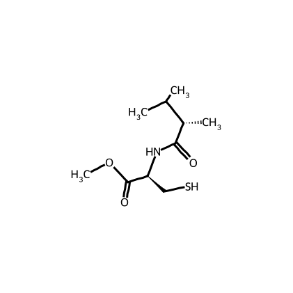 COC(=O)[C@H](CS)NC(=O)[C@@H](C)C(C)C